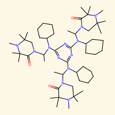 CC(N1CC(C)(C)N(C)C(C)(C)C1=O)N(c1nc(N(C2CCCCC2)C(C)N2CC(C)(C)N(C)C(C)(C)C2=O)nc(N(C2CCCCC2)C(C)N2CC(C)(C)N(C)C(C)(C)C2=O)n1)C1CCCCC1